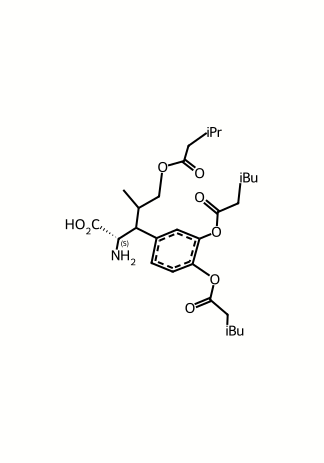 CCC(C)CC(=O)Oc1ccc(C(C(C)COC(=O)CC(C)C)[C@H](N)C(=O)O)cc1OC(=O)CC(C)CC